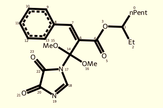 CCCCCC(CC)OC(=O)C(=Cc1ccccc1)C(OC)(OC)N1C=NC(=O)C1=O